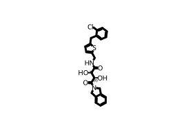 O=C(NCc1ccc(Cc2ccccc2Cl)s1)[C@H](O)[C@@H](O)C(=O)N1Cc2ccccc2C1